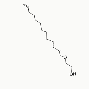 C=CCCCCCCCCC[CH]COCCO